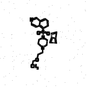 CCOCCN1CCN(S(=O)(=O)c2cccc3cnccc23)CC1.c1cc2ccc1-2